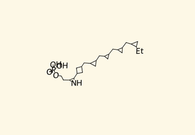 CCC1CC1CC1CC1CC1CC1CC1CC1CC1CC(C2NC2CCOP(=O)(O)O)C1